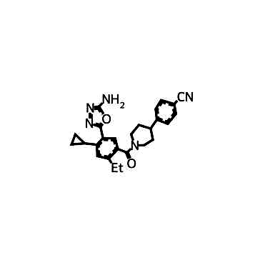 CCc1cc(C2CC2)c(-c2nnc(N)o2)cc1C(=O)N1CCC(c2ccc(C#N)cc2)CC1